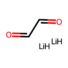 O=CC=O.[LiH].[LiH]